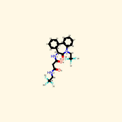 O=C(CC(=O)N[C@@H]1C(=O)N(CC(F)(F)F)c2ccccc2-c2ccccc21)NCC(F)(F)F